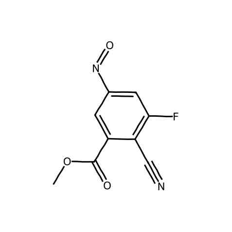 COC(=O)c1cc(N=O)cc(F)c1C#N